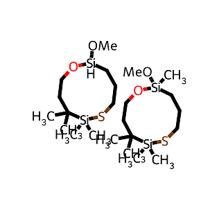 CO[SiH]1CCCS[Si](C)(C)C(C)(C)CCO1.CO[Si]1(C)CCCS[Si](C)(C)C(C)(C)CCO1